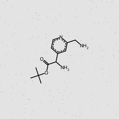 CC(C)(C)OC(=O)C(N)c1ccnc(CN)c1